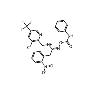 O=C(Nc1ccccc1)ON=C(Cc1ccccc1[N+](=O)[O-])NCc1ncc(C(F)(F)F)cc1Cl